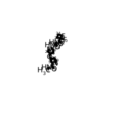 CNC(=O)c1cc(Oc2ccc(NC(=O)NC(=O)C3(C(F)(F)F)CCC3)nc2)ccn1